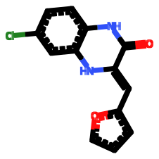 O=C1Nc2ccc(Cl)cc2NC1=Cc1ccco1